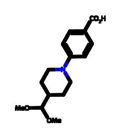 COC(OC)C1CCN(c2ccc(C(=O)O)cc2)CC1